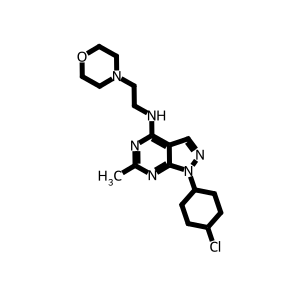 Cc1nc(NCCN2CCOCC2)c2cnn(C3CCC(Cl)CC3)c2n1